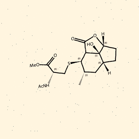 COC(=O)[C@H](CS[C@H]1C2C(=O)O[C@@H]3CC[C@H](C[C@@H]1C)[C@]23O)NC(C)=O